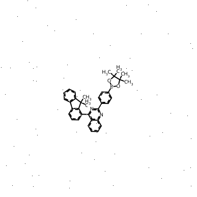 CC1(C)c2ccccc2-c2cccc(-c3nc(-c4ccc(B5OC(C)(C)C(C)(C)O5)cc4)nc4ccccc34)c21